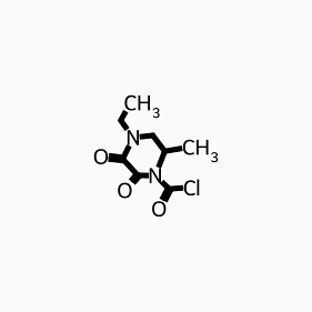 CCN1CC(C)N(C(=O)Cl)C(=O)C1=O